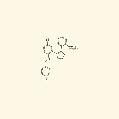 CCOC(=O)c1cccnc1C1=C(c2cc(Cl)ccc2OCc2ccc(F)cc2)CCC1